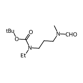 CCN(CCCN(C)C=O)C(=O)OC(C)(C)C